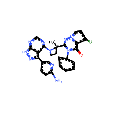 C[C@@]1(c2nn3ccc(Cl)c3c(=O)n2-c2ccccc2)CCN1c1ncnc2[nH]nc(-c3ccc(N)nc3)c12